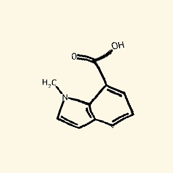 Cn1ccc2[c]ccc(C(=O)O)c21